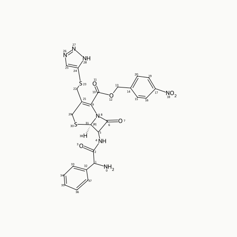 NC(C(=O)NC1C(=O)N2C(C(=O)OCc3ccc([N+](=O)[O-])cc3)=C(CSc3cnn[nH]3)CS[C@H]12)c1ccccc1